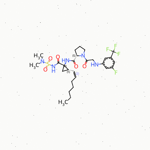 CCCCC/C=C\[C@@H]1C[C@]1(NC(=O)[C@@H]1CCCN1C(=O)CNc1cc(F)cc(C(F)(F)F)c1)C(=O)NS(=O)(=O)N(C)C